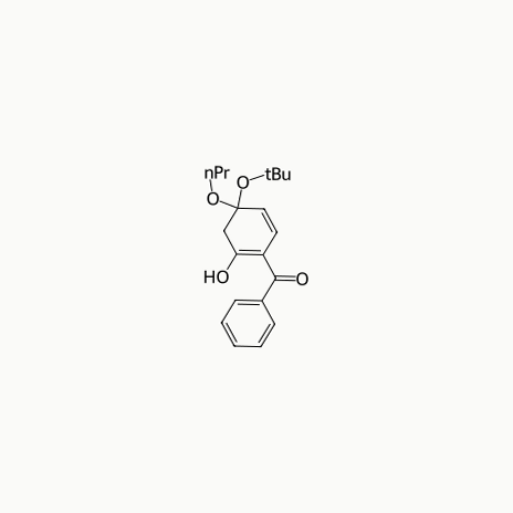 CCCOC1(OC(C)(C)C)C=CC(C(=O)c2ccccc2)=C(O)C1